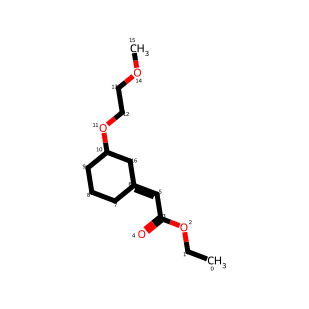 CCOC(=O)C=C1CCCC(OCCOC)C1